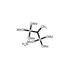 CO[Si](OC)(OC)C(C)[Si](OC)(OC)OC.[SiH4]